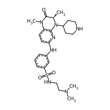 C[C@@H]1C(=O)N(C)c2ccc(Nc3cccc(S(=O)(=O)NCCN(C)C)c3)nc2N1C1CCNCC1